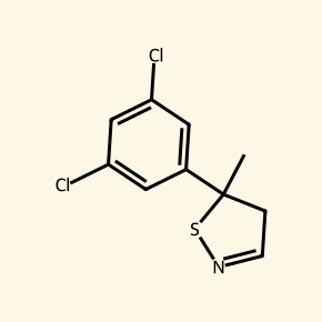 CC1(c2cc(Cl)cc(Cl)c2)CC=NS1